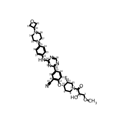 COC[C@@H](O)C(=O)N1CC[C@H](Oc2ccc(-c3ncnc(Nc4ccc(N5CCN(C6COC6)CC5)cc4)n3)cc2C#N)[C@@H](F)C1